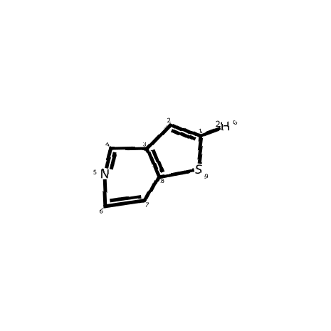 [2H]c1cc2cnccc2s1